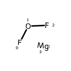 FOF.[Mg]